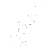 C=CC(C=C)(COC(C)c1ncc(C(C)N2Cc3c(ccnc3C(=O)NCCCNC(C)=O)C2=O)cc1Cl)C(F)F